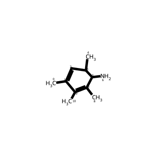 CC1=CC(C)C(N)C(C)=C1C